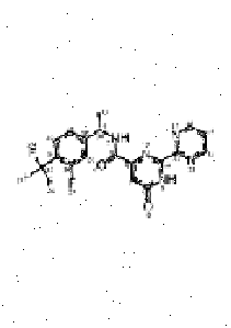 C[C@@H](NC(=O)c1cc(=O)[nH]c(-c2ncccn2)n1)c1ccc(C(F)(F)F)c(F)c1